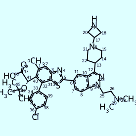 Cc1cc2nc(-c3ccc4c(c3)c(C3CCN(C5CNC5)CC3)nn4CCN(C)C)sc2c(-c2ccc(Cl)cc2)c1[C@H](OC(C)(C)C)C(=O)O